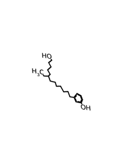 CCC(CCCCCO)CCCCCCCc1cccc(O)c1